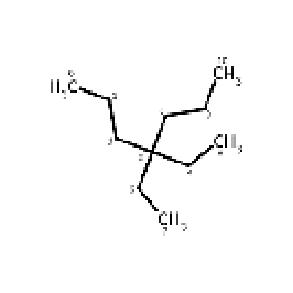 CC[CH]C(CC)(CC)CCC